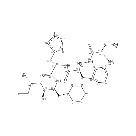 C=C[C@@H](C[C@H](O)[C@H](CC1CCCCC1)NC(=O)[C@H](Cc1c[nH]cn1)NC(=O)[C@H](Cc1ccccc1)NNC(=O)[C@@H](N)CO)C(C)C